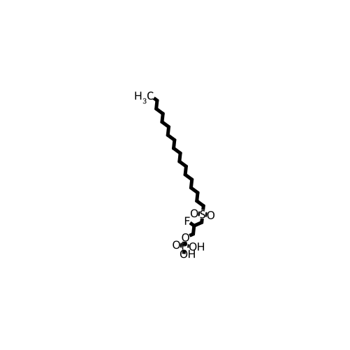 CCCCCCCCCCCCCCCCCCS(=O)(=O)CC(F)COP(=O)(O)O